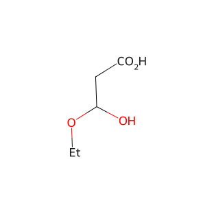 CCOC(O)CC(=O)O